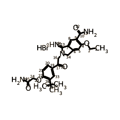 Br.CCOc1cc2c(cc1C(N)=O)C(=N)N(CC(=O)c1ccc(OCC(N)=O)c(C(C)(C)C)c1)C2